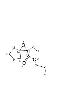 CCCOC(=O)C1(CC)OC12CCCC2